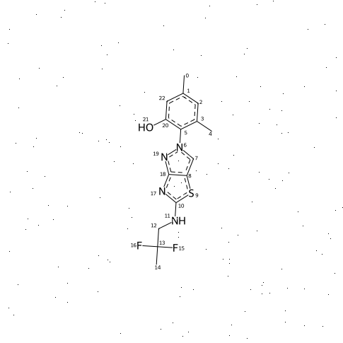 Cc1cc(C)c(-n2cc3sc(NCC(C)(F)F)nc3n2)c(O)c1